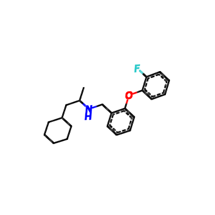 CC(CC1CCCCC1)NCc1ccccc1Oc1ccccc1F